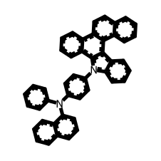 c1ccc(N(c2ccc(-n3c4ccccc4c4c5c6ccccc6ccc5c5ccccc5c43)cc2)c2cccc3ccccc23)cc1